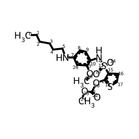 CCCCCCNc1ccc(NS(=O)(=O)c2ccsc2OC(=O)OC)c(OC)c1